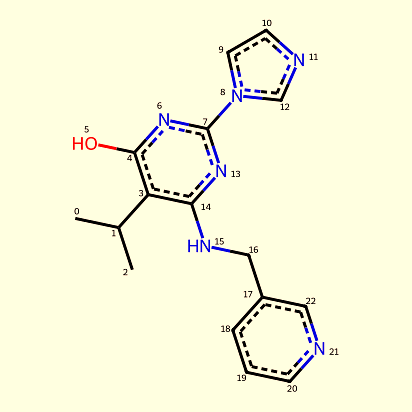 CC(C)c1c(O)nc(-n2ccnc2)nc1NCc1cccnc1